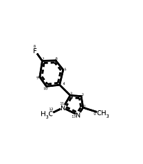 Cc1cc(-c2ccc(F)cc2)n(C)n1